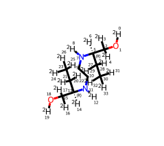 [2H]OC([2H])([2H])[C@]([2H])(N([2H])CCN([2H])[C@@]([2H])(C([2H])([2H])O[2H])C([2H])([2H])C([2H])([2H])[2H])C([2H])([2H])C([2H])([2H])[2H]